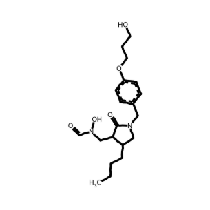 CCCCC1CN(Cc2ccc(OCCCO)cc2)C(=O)C1CN(O)C=O